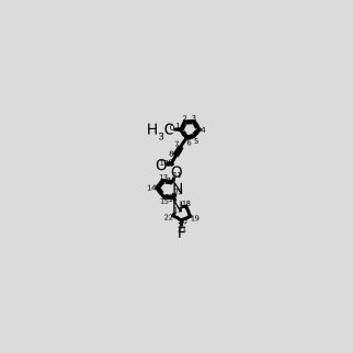 Cc1ccccc1C#CC(=O)Oc1cccc(N2CCC(F)C2)n1